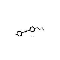 O=S([O-])CCc1ccc(C#Cc2ccc(F)cc2)cc1F.[Na+]